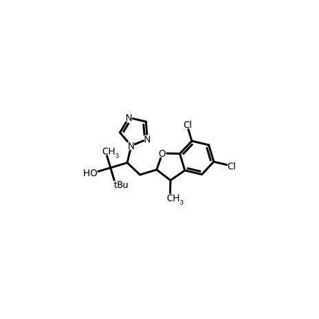 CC1c2cc(Cl)cc(Cl)c2OC1CC(n1cncn1)C(C)(O)C(C)(C)C